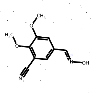 COc1cc(/C=N/O)cc(C#N)c1OC